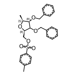 Cc1ccc(S(=O)(=O)OC[C@H]2O[C@@H](C)[C@@H](OCc3ccccc3)C2OCc2ccccc2)cc1